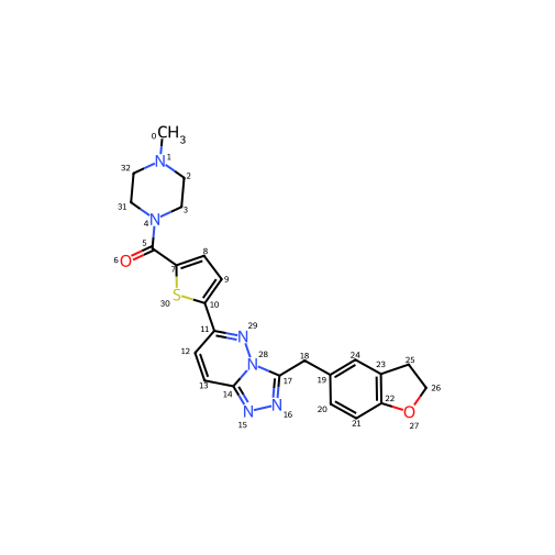 CN1CCN(C(=O)c2ccc(-c3ccc4nnc(Cc5ccc6c(c5)CCO6)n4n3)s2)CC1